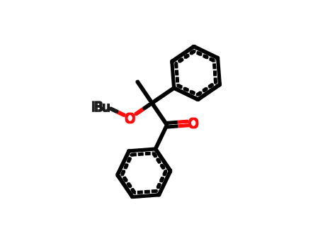 CCC(C)OC(C)(C(=O)c1ccccc1)c1ccccc1